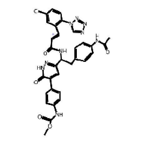 COC(=O)Nc1ccc(-c2cc(C(Cc3ccc(NC(C)=O)cc3)NC(=O)/C=C/c3cc(Cl)ccc3-n3cnnn3)n[nH]c2=O)cc1